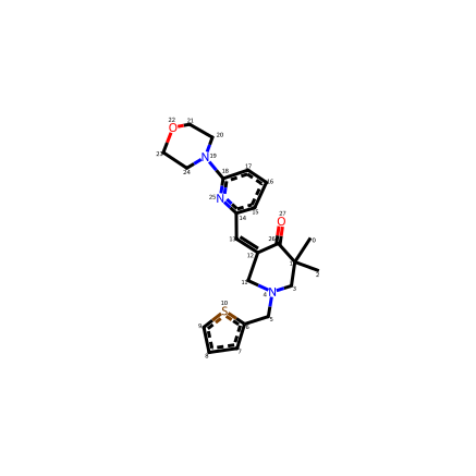 CC1(C)CN(Cc2cccs2)CC(=Cc2cccc(N3CCOCC3)n2)C1=O